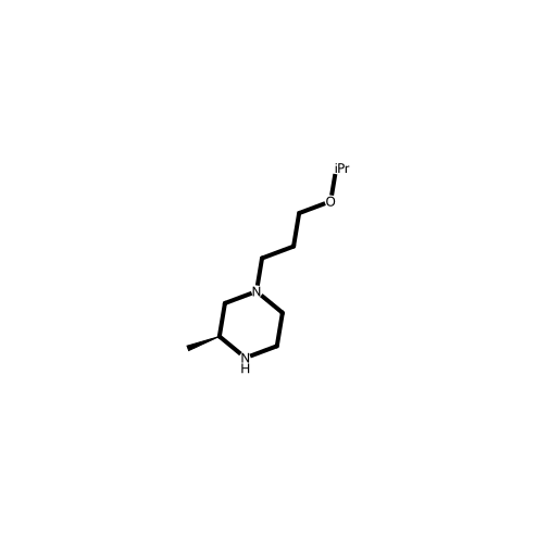 CC(C)OCCCN1CCN[C@@H](C)C1